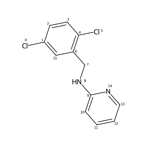 Clc1ccc(Cl)c(CNc2ccccn2)c1